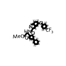 COC(=O)CC(NC(=O)c1cc2cc(Oc3ccc(C(F)(F)F)cc3)ccc2cn1)c1ccc(-c2ccccc2)cc1